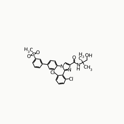 CC(C)(CO)NC(=O)c1cn(-c2ccc(-c3cccc(S(C)(=O)=O)c3)cc2)c(-c2c(Cl)cccc2Cl)n1